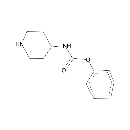 O=C(NC1CCNCC1)Oc1ccccc1